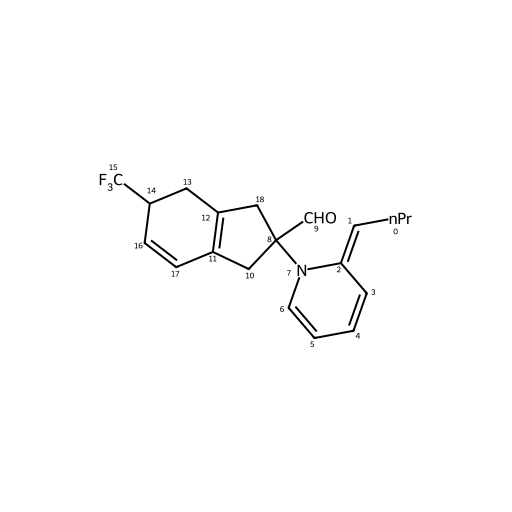 CCC/C=C1\C=CC=CN1C1(C=O)CC2=C(CC(C(F)(F)F)C=C2)C1